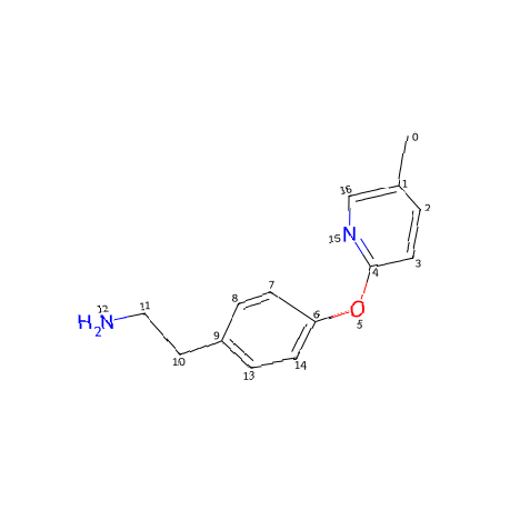 Cc1ccc(Oc2ccc(CCN)cc2)nc1